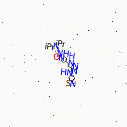 CC(C)N(CCNC(=O)N1CC=C(C2Cc3c(Nc4ccc5ncsc5c4)ncnc3N2)CC1)C(C)C